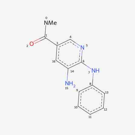 CNC(=O)c1cnc(Nc2ccccc2)c(N)c1